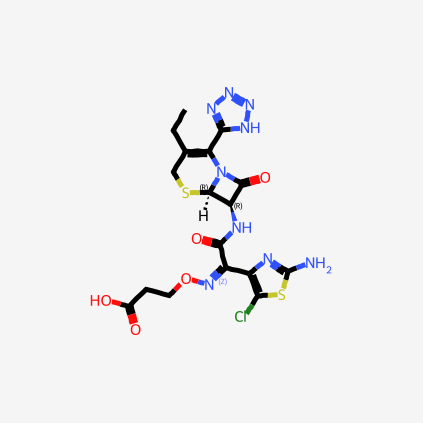 CCC1=C(c2nnn[nH]2)N2C(=O)[C@@H](NC(=O)/C(=N\OCCC(=O)O)c3nc(N)sc3Cl)[C@H]2SC1